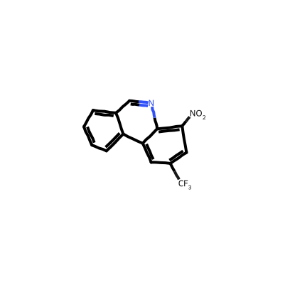 O=[N+]([O-])c1cc(C(F)(F)F)cc2c1ncc1ccccc12